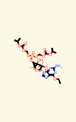 CCOc1nc(N)nc2c1ncn2[C@@H]1O[C@]2(F)C(OP(=O)(OCOC(=O)OC(C)C)OCOC(=O)OC(C)C)[C@]2(O)[C@@]1(C)O